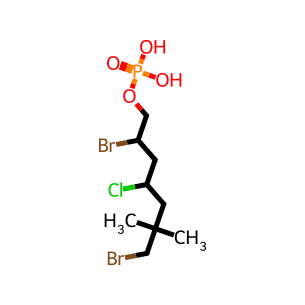 CC(C)(CBr)CC(Cl)CC(Br)COP(=O)(O)O